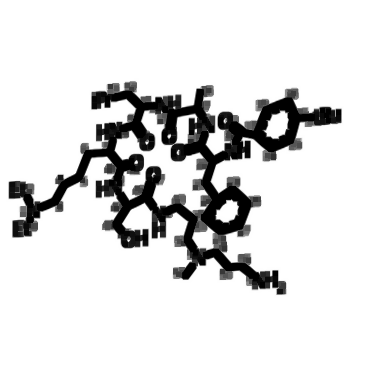 CCN(CC)CCCCC(NC(=O)C(CC(C)C)NC(=O)C(C)NC(=O)C(Cc1ccccc1)NC(=O)c1ccc(C(C)(C)C)cc1)C(=O)NC(CO)C(=O)NCCCN(C)CCCN